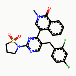 Cn1cc(-c2nc(N3CCCS3(=O)=O)ncc2Cc2ccc(F)cc2F)c2ccccc2c1=O